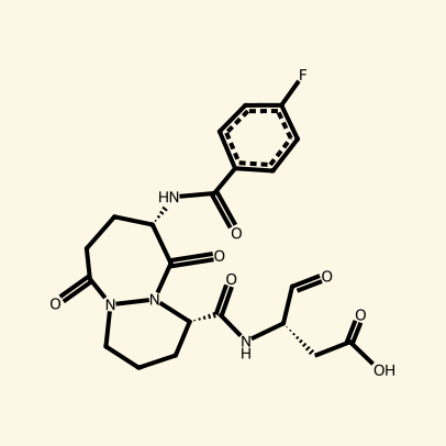 O=C[C@H](CC(=O)O)NC(=O)[C@@H]1CCCN2C(=O)CC[C@H](NC(=O)c3ccc(F)cc3)C(=O)N12